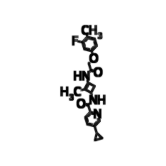 CC1=C(NC(=O)COc2ccc(C)c(F)c2)CC1NC(=O)c1ccc(C2CC2)cn1